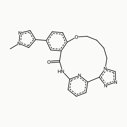 Cn1cc(-c2ccc3c(c2)C(=O)Nc2cccc(n2)-c2nncn2CCCCO3)cn1